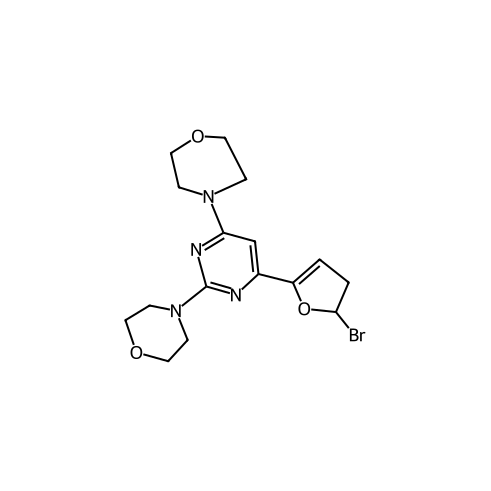 BrC1CC=C(c2cc(N3CCOCC3)nc(N3CCOCC3)n2)O1